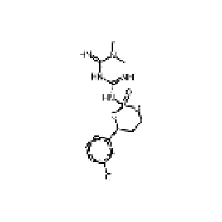 CN(C)C(=N)NC(=N)NP1(=O)OCCC(c2cccc(Cl)c2)O1